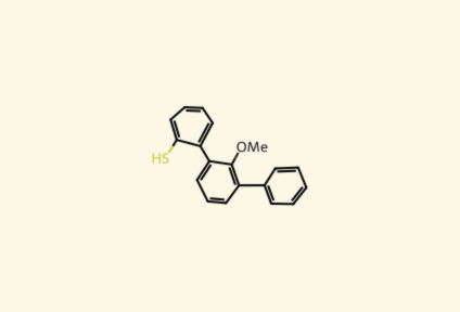 COc1c(-c2ccccc2)cccc1-c1ccccc1S